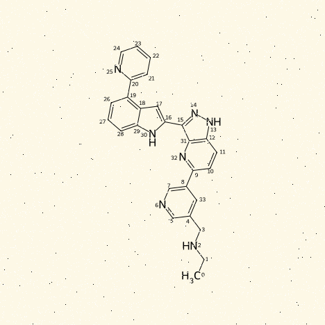 CCNCc1cncc(-c2ccc3[nH]nc(-c4cc5c(-c6ccccn6)cccc5[nH]4)c3n2)c1